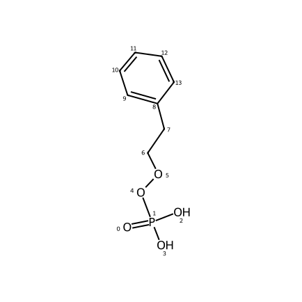 O=P(O)(O)OOCCc1ccccc1